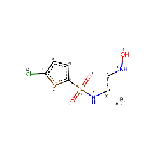 CC[C@H](C)[C@@H](CNO)NS(=O)(=O)c1ccc(Cl)s1